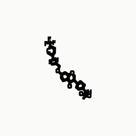 CS(=O)(=O)Nc1ccc(-c2coc3cc(OCc4csc(-c5ccc(C(F)(F)F)cc5)n4)ccc3c2=O)cc1